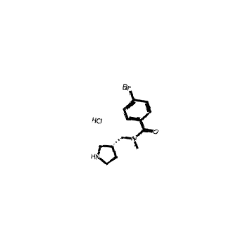 CN(C[C@@H]1CCNC1)C(=O)c1ccc(Br)cc1.Cl